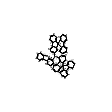 c1ccc2c(c1)-c1ccccc1C21c2ccccc2-c2ccc(N(c3cccc4c3-c3ccccc3C43c4ccccc4-c4ccccc43)c3cccc4c3oc3ccccc34)cc21